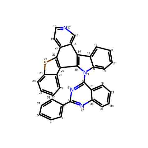 c1ccc(-c2nc(-n3c4ccccc4c4c5cnccc5c5sc6ccccc6c5c43)c3ccccc3n2)cc1